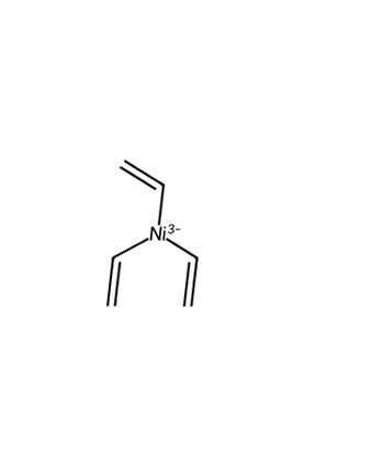 C=[CH][Ni-3]([CH]=C)[CH]=C